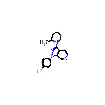 CC1CCCCN1c1nn(-c2ccc(Cl)cc2)c2cnccc12